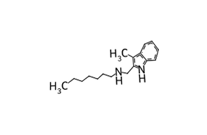 CCCCCCCNCc1[nH]c2ccccc2c1C